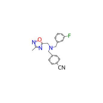 Cc1noc(CN(Cc2ccc(C#N)cc2)Cc2cccc(F)c2)n1